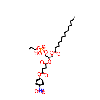 CCCCCCCCCCCCCC(=O)OC[C@H](COP(=O)(O)OCCC)OC(=O)CCC(=O)Oc1ccc([N+](=O)[O-])cc1